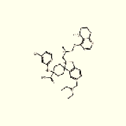 CCN(CC)Cc1ccc2c(c1)C1(CCC(Nc3cccc(Cl)c3)(C(=O)O)CC1)[C@@H](C[C@@H](C)COc1ccnc3c1[C@H](C)CCC3)C2